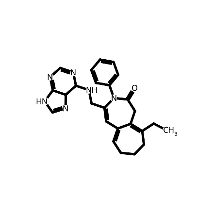 CCC1=C2CC(=O)N(c3ccccc3)C(CNC3N=CN=C4NC=NC43)=CC2=CCCC1